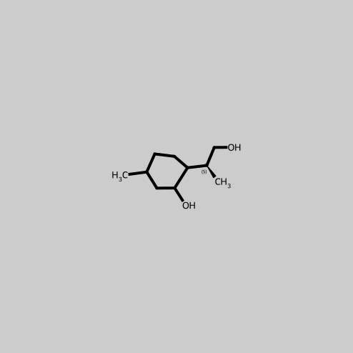 CC1CCC([C@H](C)CO)C(O)C1